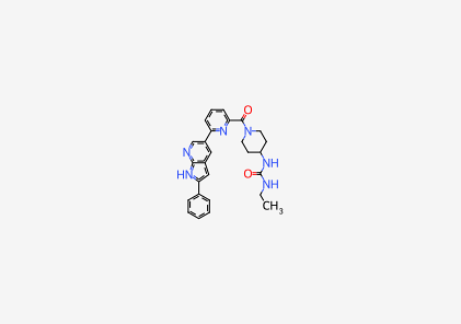 CCNC(=O)NC1CCN(C(=O)c2cccc(-c3cnc4[nH]c(-c5ccccc5)cc4c3)n2)CC1